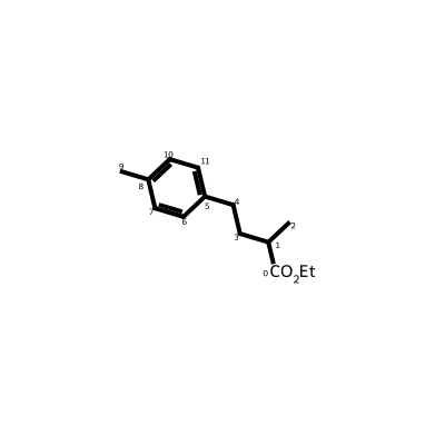 CCOC(=O)C(C)CCc1ccc(C)cc1